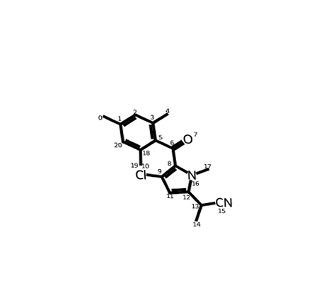 Cc1cc(C)c(C(=O)c2c(Cl)cc(C(C)C#N)n2C)c(C)c1